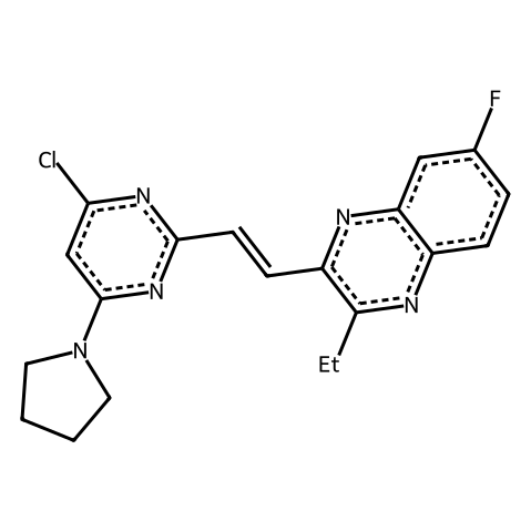 CCc1nc2ccc(F)cc2nc1/C=C/c1nc(Cl)cc(N2CCCC2)n1